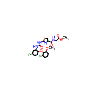 COC(=O)CNC(=O)c1csc(NC(=O)Nc2cc(F)ccc2Oc2c(F)cccc2OC)n1